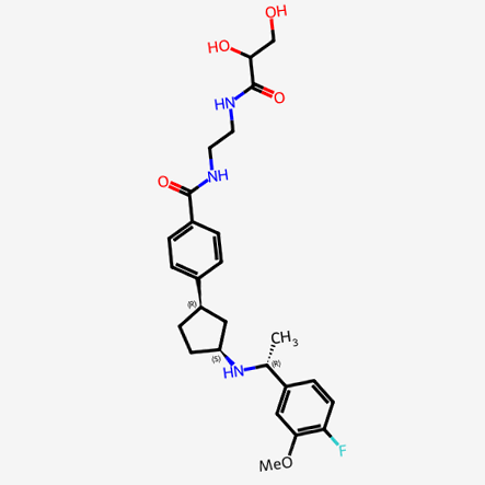 COc1cc([C@@H](C)N[C@H]2CC[C@@H](c3ccc(C(=O)NCCNC(=O)C(O)CO)cc3)C2)ccc1F